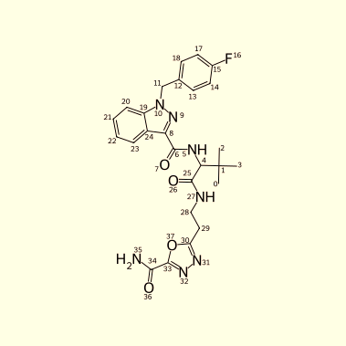 CC(C)(C)C(NC(=O)c1nn(Cc2ccc(F)cc2)c2ccccc12)C(=O)NCCc1nnc(C(N)=O)o1